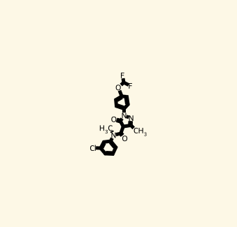 CC1=NN(c2ccc(OC(F)F)cc2)C(=O)C1C(=O)N(C)c1cccc(Cl)c1